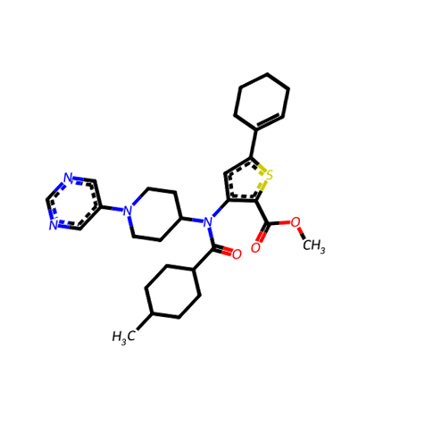 COC(=O)c1sc(C2=CCCCC2)cc1N(C(=O)C1CCC(C)CC1)C1CCN(c2cncnc2)CC1